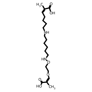 CC(=CCCCCNCCCCCCNOCCOC=C(C)C(=O)O)C(=O)O